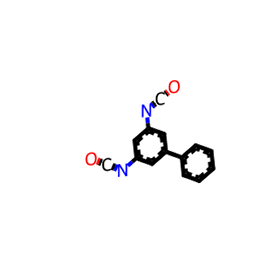 O=C=Nc1cc(N=C=O)cc(-c2ccccc2)c1